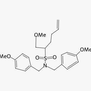 C=CCCC(COC)S(=O)(=O)N(Cc1ccc(OC)cc1)Cc1ccc(OC)cc1